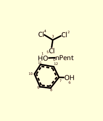 CCCCCO.ClC(Cl)Cl.Oc1ccccc1